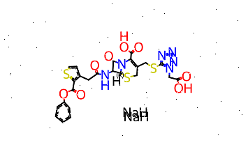 O=C(O)Cn1nnnc1SCC1=C(C(=O)O)N2C(=O)C(NC(=O)Cc3ccsc3C(=O)Oc3ccccc3)[C@H]2SC1.[NaH].[NaH]